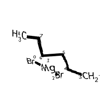 [Br][Mg][Br].[CH2]CCCCC